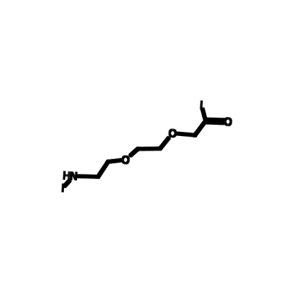 O=C(I)COCCOCCNI